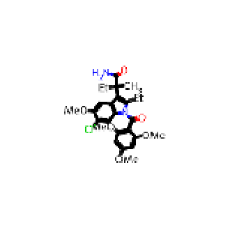 CCc1c(C(C)(CC)C(N)=O)c2cc(OC)c(Cl)cc2n1C(=O)c1c(OC)cc(OC)cc1OC